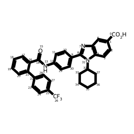 O=C(O)c1ccc2c(c1)nc(-c1ccc(NC(=O)c3ccccc3-c3ccc(C(F)(F)F)cc3)cc1)n2C1CCCCC1